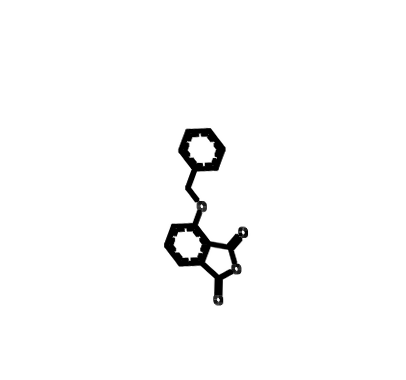 O=C1OC(=O)c2c(OCc3ccccc3)cccc21